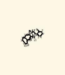 Cc1ccccc1-c1cnc2cc3ccccc3cc2[n+]1C